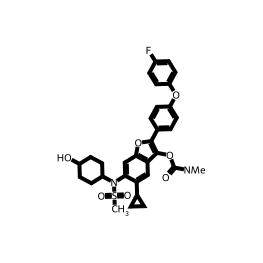 CNC(=O)Oc1c(-c2ccc(Oc3ccc(F)cc3)cc2)oc2cc(N(C3CCC(O)CC3)S(C)(=O)=O)c(C3CC3)cc12